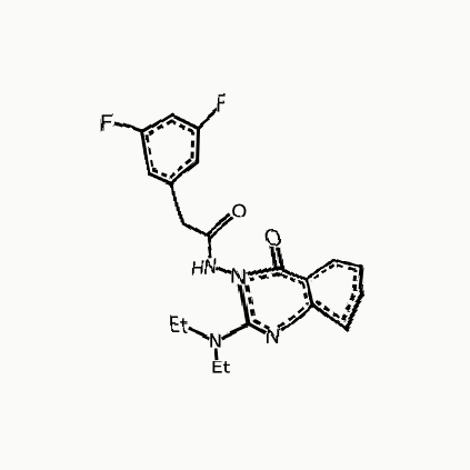 CCN(CC)c1nc2ccccc2c(=O)n1NC(=O)Cc1cc(F)cc(F)c1